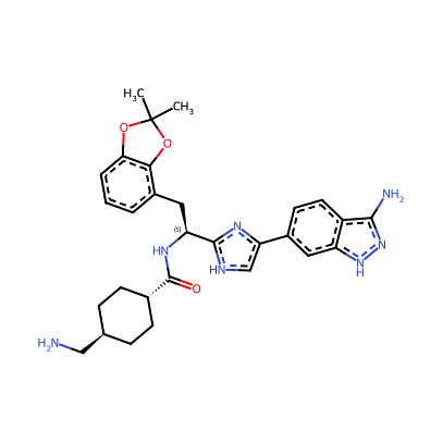 CC1(C)Oc2cccc(C[C@H](NC(=O)[C@H]3CC[C@H](CN)CC3)c3nc(-c4ccc5c(N)n[nH]c5c4)c[nH]3)c2O1